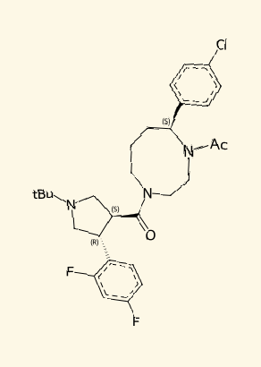 CC(=O)N1CCN(C(=O)[C@@H]2CN(C(C)(C)C)C[C@H]2c2ccc(F)cc2F)CCC[C@H]1c1ccc(Cl)cc1